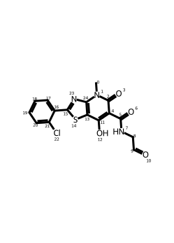 Cn1c(=O)c(C(=O)NCC=O)c(O)c2sc(-c3ccccc3Cl)nc21